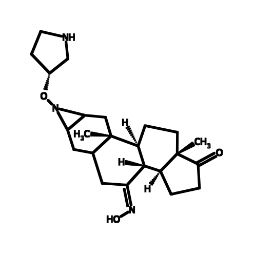 C[C@]12CC3C(CC1C/C(=N\O)[C@@H]1[C@@H]2CC[C@]2(C)C(=O)CC[C@@H]12)N3O[C@@H]1CCNC1